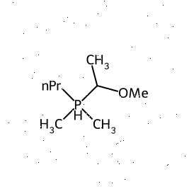 CCC[PH](C)(C)C(C)OC